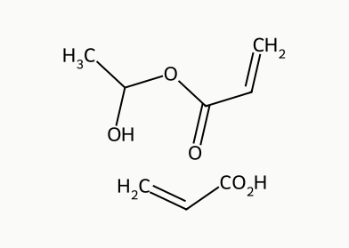 C=CC(=O)O.C=CC(=O)OC(C)O